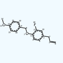 C=CCc1ccc(OCc2ccc(OC)cc2)c(F)c1